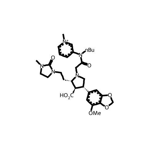 CCCCN(C(=O)CN1C[C@H](c2cc(OC)c3c(c2)OCO3)[C@@H](C(=O)O)[C@@H]1CCN1CCN(C)C1=O)c1ccc[n+](C)c1